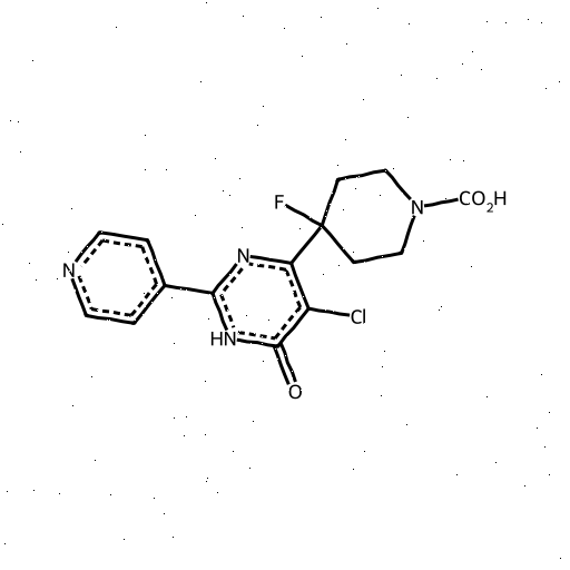 O=C(O)N1CCC(F)(c2nc(-c3ccncc3)[nH]c(=O)c2Cl)CC1